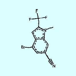 Cn1c(C(F)(F)F)cc2c(Br)cc(C#N)cc21